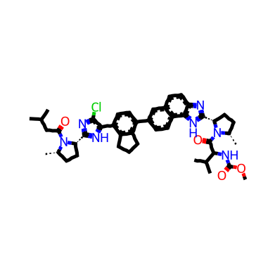 COC(=O)NC(C(=O)N1[C@@H](C)CC[C@H]1c1nc2ccc3cc(-c4ccc(-c5[nH]c([C@@H]6CC[C@H](C)N6C(=O)CC(C)C)nc5Cl)c5c4CCC5)ccc3c2[nH]1)C(C)C